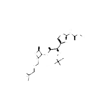 C[C@@H](O)CNC[C@H]1NC(=O)[C@H]1NC(=O)C(=NOC(C)(C)C(=O)O)c1csc(NC(=O)OC(C)(C)C)n1